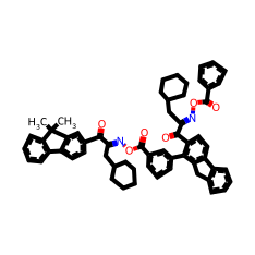 CC1(C)c2ccccc2-c2ccc(C(=O)/C(CC3CCCCC3)=N/OC(=O)c3cccc(-c4c(C(=O)/C(CC5CCCCC5)=N/OC(=O)c5ccccc5)ccc5c4Cc4ccccc4-5)c3)cc21